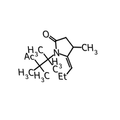 CC/C=C1/C(C)CC(=O)N1C(C)(C)C(C)(C)C(C)=O